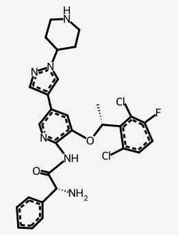 C[C@@H](Oc1cc(-c2cnn(C3CCNCC3)c2)cnc1NC(=O)[C@H](N)c1ccccc1)c1c(Cl)ccc(F)c1Cl